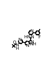 Cc1cc(F)cc(-c2nccc3[nH]c(-c4n[nH]c5ncc(-c6cncc(NC(=O)C(C)(C)C)c6)cc45)nc23)c1